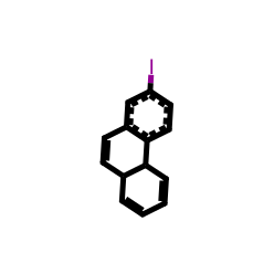 Ic1ccc2c(c1)C=CC1C=CC=CC21